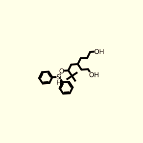 CC(C)(C)C(CC(CCO)CCCO)O[SiH](c1ccccc1)c1ccccc1